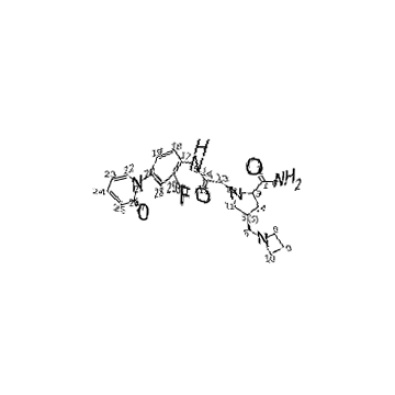 NC(=O)C1[CH][C@@H](CN2CCC2)CN1CC(=O)Nc1ccc(-n2ccccc2=O)cc1F